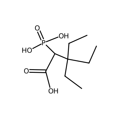 CCC(CC)(CC)C(C(=O)O)P(=O)(O)O